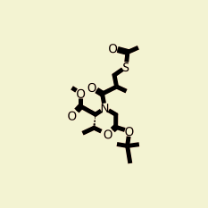 COC(=O)[C@@H](C(C)C)N(CC(=O)OC(C)(C)C)C(=O)C(C)CSC(C)=O